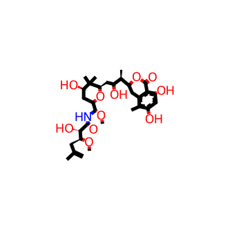 C=C(C)C[C@H](OC)[C@H](O)C(=O)NC(OC)C1C[C@@H](O)C(C)(C)[C@@H](CC(O)[C@@H](C)C2Cc3c(C)c(O)cc(O)c3C(=O)O2)O1